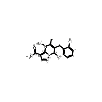 CCCCN1C(C)=C(Cc2ccccc2Cl)C(O)n2ncc(C(N)=O)c21